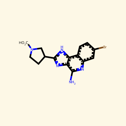 Nc1nc2cc(Br)ccc2c2[nH]c(C3CCN(C(=O)O)C3)nc12